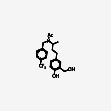 CC(=O)N(Cc1ccc(C(F)(F)F)cc1)C(C)CCc1ccc(O)c(CO)c1